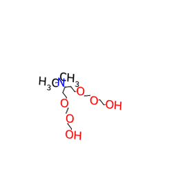 CN(C)C(CCOCCOCCO)CCOCCOCCO